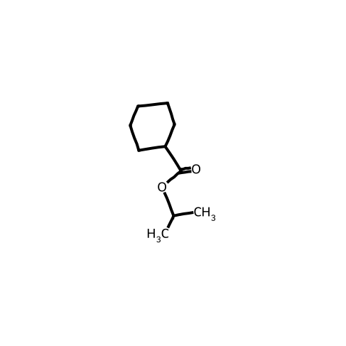 C[C](C)OC(=O)C1CCCCC1